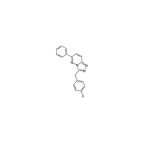 Fc1ccc(Cc2nnc3ccc(-c4ccccc4)nn23)cc1